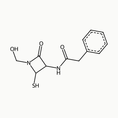 O=C(Cc1ccccc1)NC1C(=O)N(CO)C1S